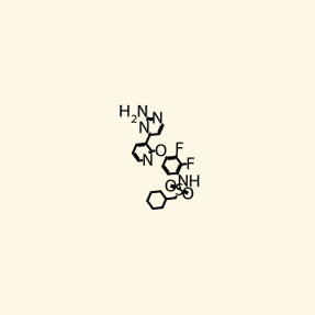 Nc1nccc(-c2cccnc2Oc2ccc(NS(=O)(=O)CC3CCCCC3)c(F)c2F)n1